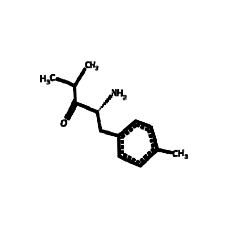 Cc1ccc(C[C@@H](N)C(=O)C(C)C)cc1